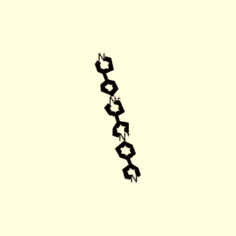 c1cc(-c2ccc(-[n+]3ccc(-c4cc[n+](-c5ccc(-c6ccncc6)cc5)cc4)cc3)cc2)ccn1